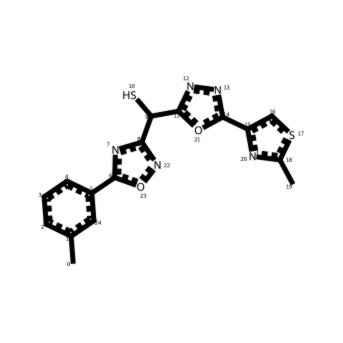 Cc1cccc(-c2nc(C(S)c3nnc(-c4csc(C)n4)o3)no2)c1